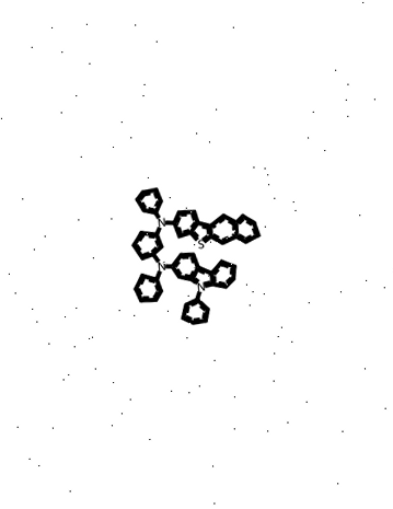 c1ccc(N(c2cccc(N(c3ccccc3)c3ccc4c5ccccc5n(-c5ccccc5)c4c3)c2)c2ccc3c(c2)sc2cc4ccccc4cc23)cc1